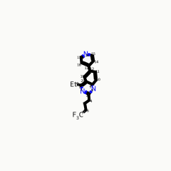 CCc1nc(CCCC(F)(F)F)nc2ccc(-c3ccncc3)cc12